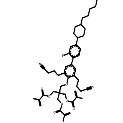 C=C(C)C(=O)OCC(COC(=O)C(=C)C)(COC(=O)C(=C)C)COc1c(CCCC#N)cc(-c2ccc(C3CCC(CCCCC)CC3)cc2F)cc1CCCC#N